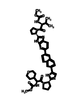 COC(=O)N[C@H](C(=O)N1CCC[C@H]1c1nc2ccc(-c3ccc4cc(-c5cnc([C@@H]6CCCN6C(=O)[C@@H](NC(=O)OC)C6CCOCC6)[nH]5)ccc4c3)nc2[nH]1)C(C)C